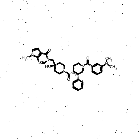 CN(C)c1cccc(C(=O)N2CC[C@@H](C(=O)N3CCC(O)(Cn4cnc5c(ccn5C)c4=O)CC3)[C@H](c3ccccc3)C2)c1